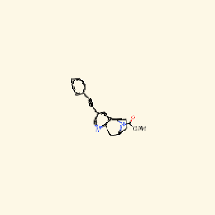 COC(=O)N1C2CCC1c1cc(C#Cc3ccccc3)cnc1C2